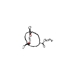 CCCOC(=O)C1CCCC2CCCCCC(CCC1)C(=O)OCCOC2=O